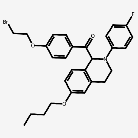 CCCCOc1ccc2c(c1)CCN(c1ccc(F)cc1)C2C(=O)c1ccc(OCCBr)cc1